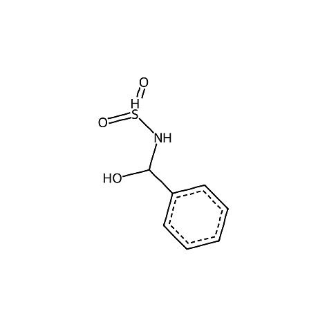 O=[SH](=O)NC(O)c1ccccc1